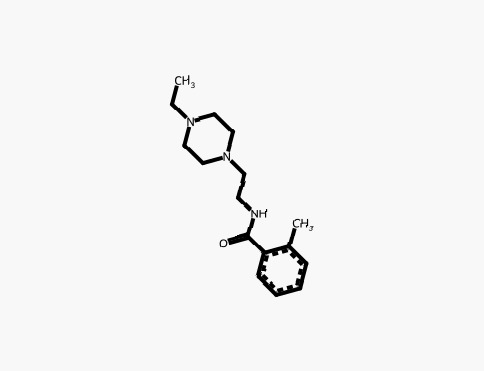 CCN1CCN(CCNC(=O)c2ccccc2C)CC1